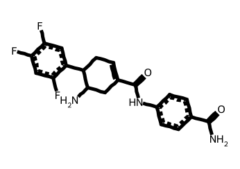 NC(=O)c1ccc(NC(=O)C2=CCC(c3cc(F)c(F)cc3F)C(N)C2)cc1